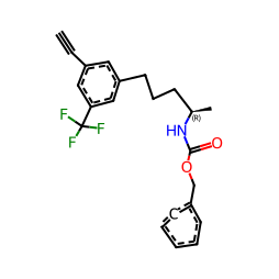 C#Cc1cc(CCC[C@@H](C)NC(=O)OCc2ccccc2)cc(C(F)(F)F)c1